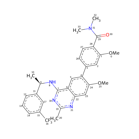 COc1cc(-c2cc3c(N[C@H](C)c4cccc(C(F)(F)F)c4)nc(C)nc3cc2OC)ccc1C(=O)N(C)C